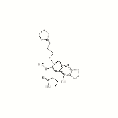 COc1cc2c(NC3CNC(=O)C3)c3c(nc2cc1OCCCN1CCCC1)CCC3